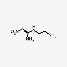 NCCN/C(N)=N/[N+](=O)[O-]